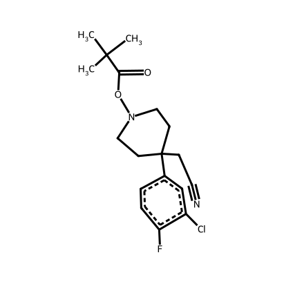 CC(C)(C)C(=O)ON1CCC(CC#N)(c2ccc(F)c(Cl)c2)CC1